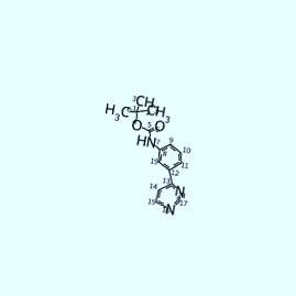 CC(C)(C)OC(=O)Nc1cccc(-c2ccncn2)c1